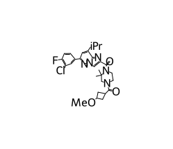 COC1CC(C(=O)N2CCN(C(=O)c3cn4nc(-c5ccc(F)c(Cl)c5)cc(C(C)C)c4n3)C(C)(C)C2)C1